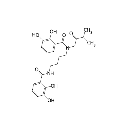 CC(C)C(=O)CN(CCCCNC(=O)c1cccc(O)c1O)C(=O)c1cccc(O)c1O